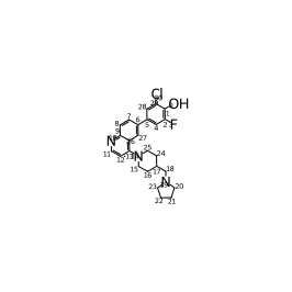 Oc1c(F)cc(-c2ccc3nc[c]c(N4CCC(CN5CCCC5)CC4)c3c2)cc1Cl